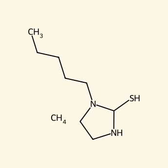 C.CCCCCN1CCNC1S